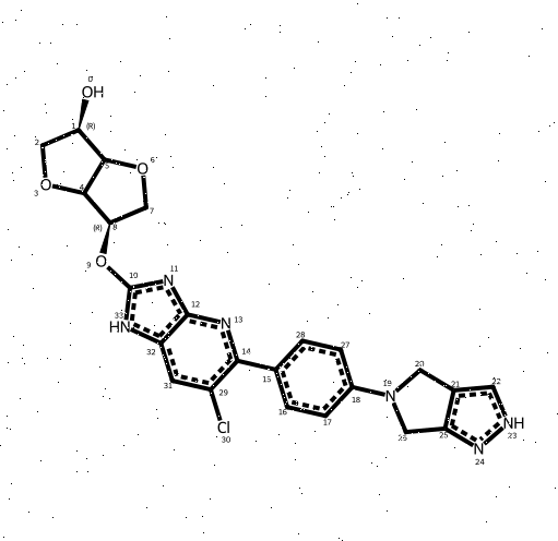 O[C@@H]1COC2C1OC[C@H]2Oc1nc2nc(-c3ccc(N4Cc5c[nH]nc5C4)cc3)c(Cl)cc2[nH]1